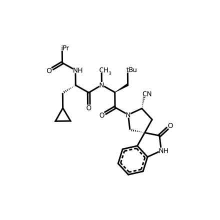 CC(C)C(=O)N[C@@H](CC1CC1)C(=O)N(C)[C@@H](CC(C)(C)C)C(=O)N1C[C@]2(C[C@H]1C#N)C(=O)Nc1ccccc12